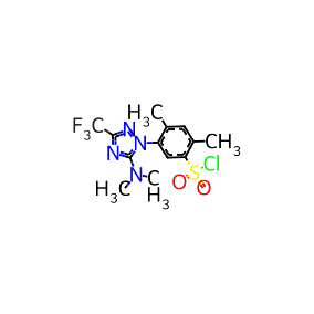 Cc1cc(C)c(S(=O)(=O)Cl)cc1-n1nc(C(F)(F)F)nc1N(C)C